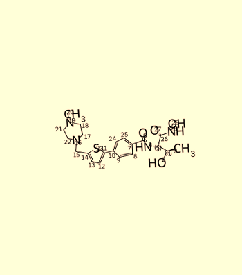 C[C@@H](O)[C@H](NC(=O)c1ccc(-c2ccc(CN3CCN(C)CC3)s2)cc1)C(=O)NO